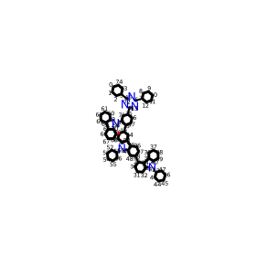 c1ccc(-c2nc(-c3ccccc3)nc(-c3ccc(-c4ccc5c(c4)c4ccc(-c6cccc7c6c6ccccc6n7-c6ccccc6)cc4n5-c4ccccc4)c(-n4c5ccccc5c5ccccc54)c3)n2)cc1